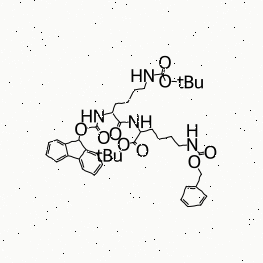 CC(C)(C)OC(=O)NCCCCC(NC(=O)OC1c2ccccc2-c2ccccc21)C(=O)NC(CCCCNC(=O)OCc1ccccc1)C(=O)OC(C)(C)C